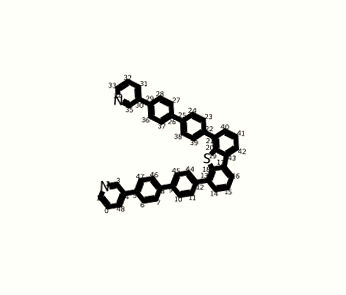 c1cncc(-c2ccc(-c3ccc(-c4cccc5c4sc4c(-c6ccc(-c7ccc(-c8cccnc8)cc7)cc6)cccc45)cc3)cc2)c1